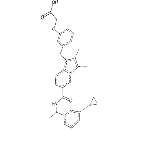 Cc1c(C)n(Cc2cccc(OCC(=O)O)c2)c2ccc(C(=O)NC(C)c3cccc(C4CC4)c3)cc12